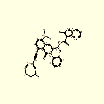 Cc1nn2cccnc2c1C(=O)N[C@@H](C)c1c2c3c(ccc(C#CC4=CC(C)CCN=C4)c3c(=O)n1-c1ccccc1)N(C)C2